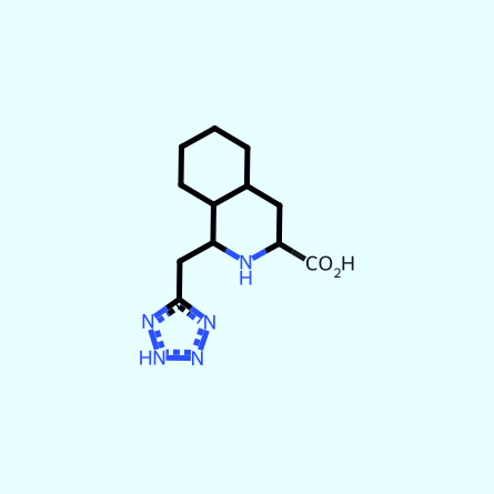 O=C(O)C1CC2CCCCC2C(Cc2nn[nH]n2)N1